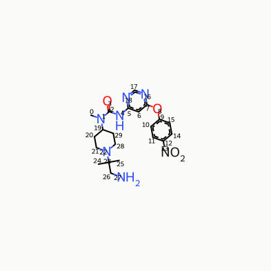 CN(C(=O)Nc1cc(Oc2ccc([N+](=O)[O-])cc2)ncn1)C1CCN(C(C)(C)CN)CC1